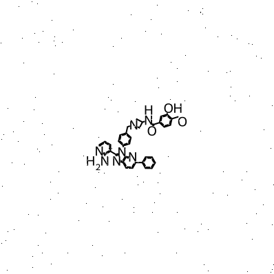 Nc1ncccc1-c1nc2ccc(-c3ccccc3)nc2n1-c1ccc(CN2CC(NC(=O)c3ccc(C=O)c(O)c3)C2)cc1